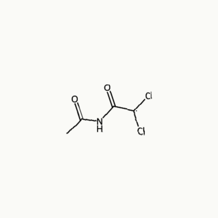 CC(=O)NC(=O)[C](Cl)Cl